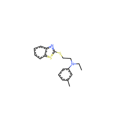 CCN(CCSc1nc2ccccc2s1)c1cccc(C)c1